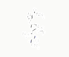 C=C(/C=C(Cl)\C=C/C)c1cc(Cn2cnc(C(N)=O)c2)cnc1OC(F)F